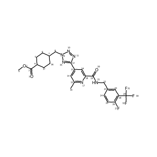 COC(=O)C1CCC(Cn2nnc(-c3cc(C)nc(C(=O)NCc4ccc(F)c(C(F)(F)F)c4)c3)n2)CC1